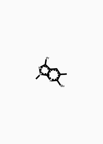 CCC(C)c1nc2c(cc1C)c(C(C)C)nn2C